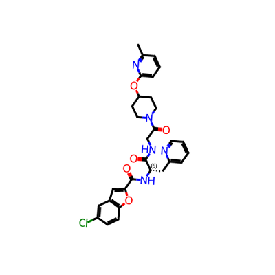 Cc1cccc(OC2CCN(C(=O)CNC(=O)[C@H](Cc3ccccn3)NC(=O)c3cc4cc(Cl)ccc4o3)CC2)n1